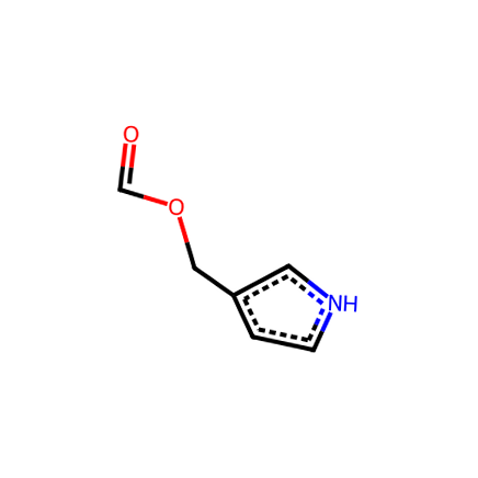 O=COCc1cc[nH]c1